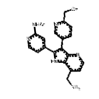 CC(=O)Nc1cc(-c2[nH]c3c(CN)ccnc3c2-c2ccc(CO)nc2)ccn1